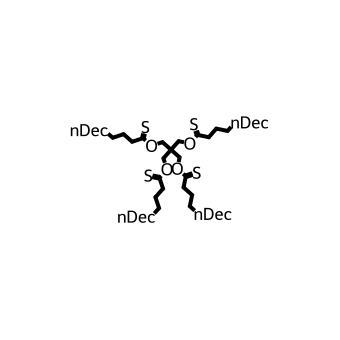 CCCCCCCCCCCCCC(=S)OCC(COC(=S)CCCCCCCCCCCCC)(COC(=S)CCCCCCCCCCCCC)COC(=S)CCCCCCCCCCCCC